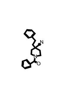 N#CC1(CCc2ccccc2)CCN(C(=O)c2ccccc2)CC1